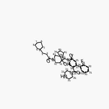 O=C(CCC1CCCCC1)N1CCC(O)(Cn2cc(C(=O)N3CCNCC3)c(-c3ccccc3F)cc2=O)C2(CCCC2)C1